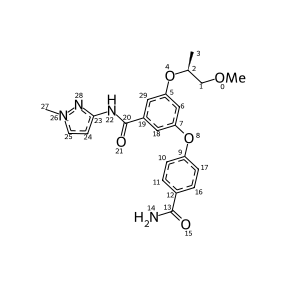 COC[C@H](C)Oc1cc(Oc2ccc(C(N)=O)cc2)cc(C(=O)Nc2ccn(C)n2)c1